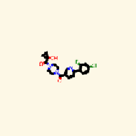 O=C(c1ccc(-c2ccc(Cl)cc2F)nc1)N1CCN(C(=O)C2(O)CC2)CC1